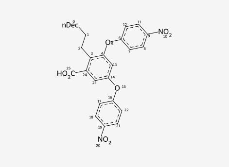 CCCCCCCCCCCCc1c(Oc2ccc([N+](=O)[O-])cc2)cc(Oc2ccc([N+](=O)[O-])cc2)cc1C(=O)O